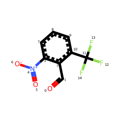 O=Cc1c([N+](=O)[O-])cccc1C(F)(F)F